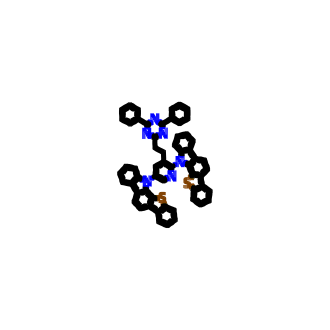 c1ccc(-c2nc(CCc3cc(-n4c5ccccc5c5ccc6c7ccccc7sc6c54)cnc3-n3c4ccccc4c4ccc5c6ccccc6sc5c43)nc(-c3ccccc3)n2)cc1